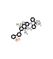 CC1(C)c2ccccc2N(c2ccc3c(c2)C(C)(C)c2cc(-c4ccc5c(c4)-c4ccccc4S5(=O)=O)ccc2C3(C)C)c2ccccc21